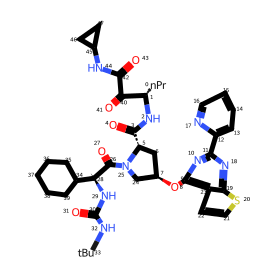 CCC[C@H](NC(=O)[C@@H]1C[C@@H](Oc2nc(-c3ccccn3)nc3sccc23)CN1C(=O)[C@@H](NC(=O)NC(C)(C)C)C1CCCCC1)C(=O)C(=O)NC1CC1